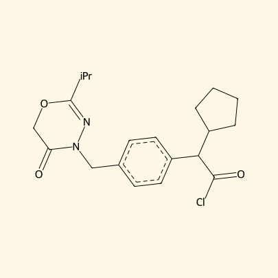 CC(C)C1=NN(Cc2ccc(C(C(=O)Cl)C3CCCC3)cc2)C(=O)CO1